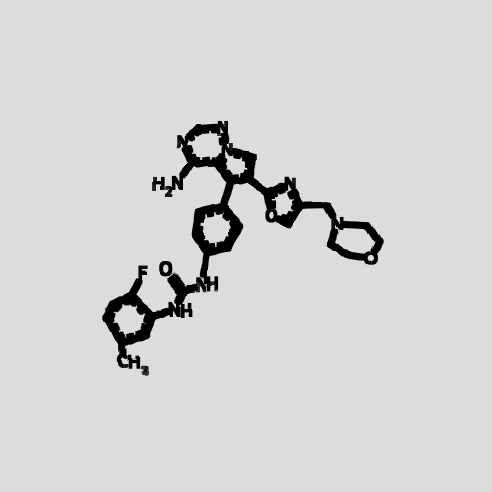 Cc1ccc(F)c(NC(=O)Nc2ccc(-c3c(-c4nc(CN5CCOCC5)co4)cn4ncnc(N)c34)cc2)c1